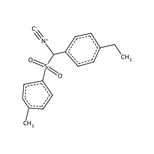 [C-]#[N+]C(c1ccc(CC)cc1)S(=O)(=O)c1ccc(C)cc1